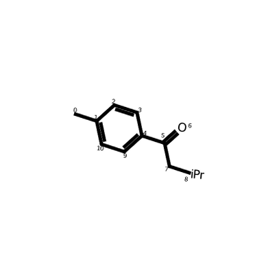 Cc1ccc(C(=O)CC(C)C)cc1